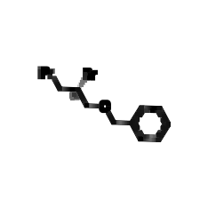 CC(C)C[C@H](Br)COCc1ccccc1